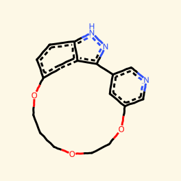 c1cc2[nH]nc3c2cc1OCCCOCCOc1cncc-3c1